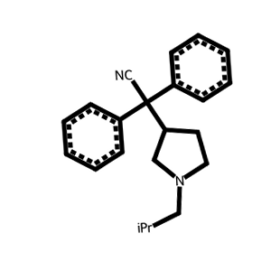 CC(C)CN1CCC(C(C#N)(c2ccccc2)c2ccccc2)C1